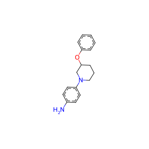 Nc1ccc(N2CCCC(Oc3ccccc3)C2)cc1